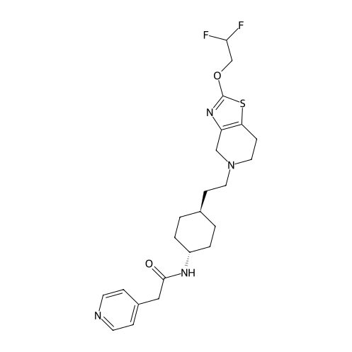 O=C(Cc1ccncc1)N[C@H]1CC[C@H](CCN2CCc3sc(OCC(F)F)nc3C2)CC1